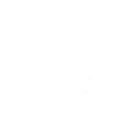 [CH2]COCCCCCCc1ncon1